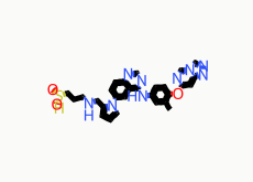 Cc1cc(Nc2ncnc3ccc(-n4cccc4CNCCC[SH](=O)=O)cc23)ccc1Oc1cc2nncn2cn1